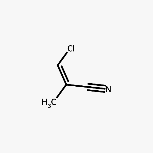 CC(C#N)=CCl